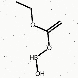 C=C(OBO)OCC